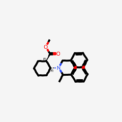 COC(=O)[C@@H]1CCCC[C@H]1N(Cc1ccccc1)C(C)c1ccccc1